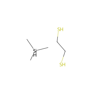 C[SiH](C)C.SCCS